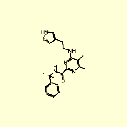 Cc1nc(C(=O)N[C@@H](C)c2ccccc2)nc(NCCc2cn[nH]c2)c1C